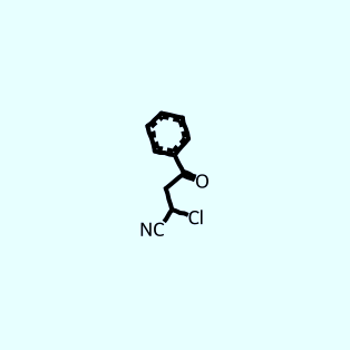 N#CC(Cl)CC(=O)c1ccccc1